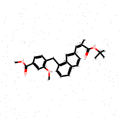 COC(=O)c1ccc(Cc2cccc3ccc(/C=C(/C)C(=O)OC(C)(C)C)cc23)c(OC)c1